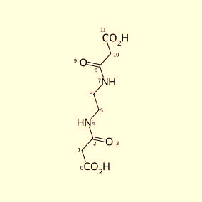 O=C(O)CC(=O)NCCNC(=O)CC(=O)O